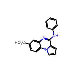 O=C(O)c1ccc2c(c1)nc(Nc1ccccc1)c1cccn12